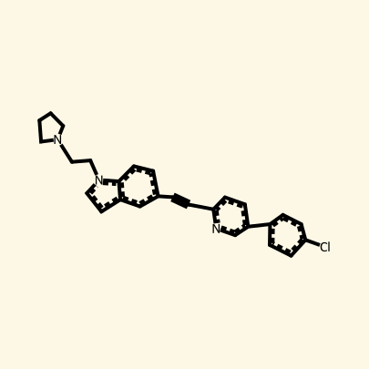 Clc1ccc(-c2ccc(C#Cc3ccc4c(ccn4CCN4CCCC4)c3)nc2)cc1